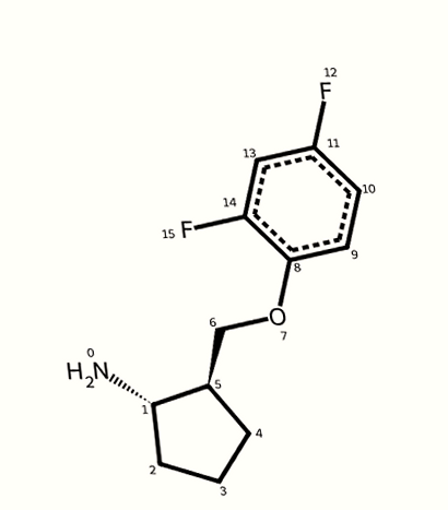 N[C@H]1CCC[C@@H]1COc1ccc(F)cc1F